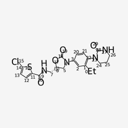 CCc1cc(N2C[C@H](CNC(=O)c3ccc(Cl)s3)OC2=O)ccc1N1CCCNC1=O